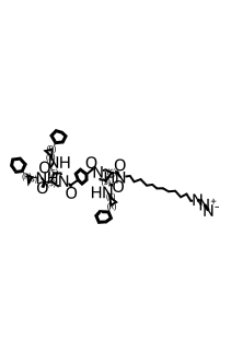 [N-]=[N+]=NCCCCCCCCCCCCNC(=O)[C@@H]1CN(C(=O)c2ccc(C(=O)N3C[C@@H](C(=O)N[C@H]4C[C@@H]4c4ccccc4)[C@H](C(=O)N[C@H]4C[C@@H]4c4ccccc4)C3)cc2)C[C@H]1C(=O)N[C@H]1C[C@@H]1c1ccccc1